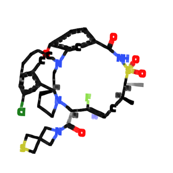 C[C@@H]1[C@@H](C)C/C=C(\F)[C@H](C(=O)N2CC3(CSC3)C2)N2CCC[C@@]23CN2CCCCc4cc(Cl)cc3c4COc3ccc(cc32)C(=O)NS1(=O)=O